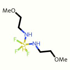 COCCN[SH](F)(F)(F)NCCOC